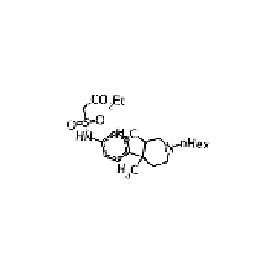 CCCCCCN1CCC(C)(c2ccc(NS(=O)(=O)CC(=O)OCC)cc2)C(C)C1